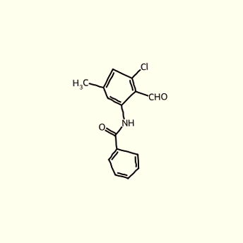 Cc1cc(Cl)c(C=O)c(NC(=O)c2ccccc2)c1